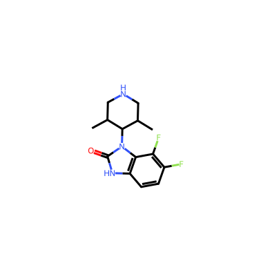 CC1CNCC(C)C1n1c(=O)[nH]c2ccc(F)c(F)c21